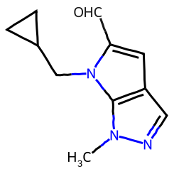 Cn1ncc2cc(C=O)n(CC3CC3)c21